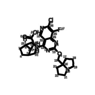 O=C(O)N[C@H]1C2CC[C@H]1CN(c1nc(OCC34CCCN3CCC4)nc3c(F)c(Cl)ncc13)C2